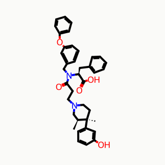 C[C@H]1CN(CCC(=O)N(Cc2cccc(Oc3ccccc3)c2)[C@@H](Cc2ccccc2)C(=O)O)CC[C@@]1(C)c1cccc(O)c1